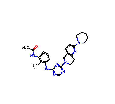 CC(=O)Nc1cccc(Nc2ncnc(N3CCc4nc(N5CCCCC5)ccc4C3)n2)c1C